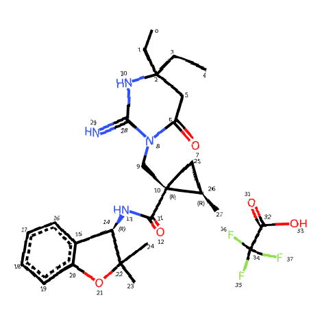 CCC1(CC)CC(=O)N(C[C@@]2(C(=O)N[C@@H]3c4ccccc4OC3(C)C)C[C@H]2C)C(=N)N1.O=C(O)C(F)(F)F